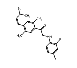 CCN(C)/C=N\c1cc(C)c(C(=S)CNc2ccc(F)cc2F)cc1C